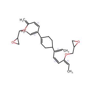 C=C(/C=C\C(=C/C)C1=CCC(C(/C=C\C(=C/C)OCC2CO2)=C/C)CC1)OCC1CO1